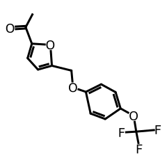 CC(=O)c1ccc(COc2ccc(OC(F)(F)F)cc2)o1